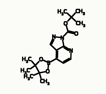 CC(C)(C)OC(=O)n1ncc2c(B3OC(C)(C)C(C)(C)O3)ccnc21